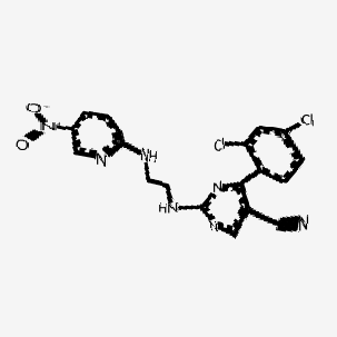 N#Cc1cnc(NCCNc2ccc([N+](=O)[O-])cn2)nc1-c1ccc(Cl)cc1Cl